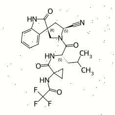 CC(C)C[C@H](NC(=O)C1(NC(=O)C(F)(F)F)CC1)C(=O)N1C[C@]2(C[C@H]1C#N)C(=O)Nc1ccccc12